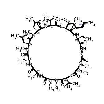 C/C=C/C[C@@H](C)[C@@H](O)[C@@H]1NC(=O)[C@H](C(C)C)N(C)C(=O)[C@@H](CC(C)C)N(C)C(=O)[C@H](CC(C)C)N(C)C(=O)[C@@H](C)NC(=O)[C@H](C)NC(=O)[C@H](C)N(C)C(=O)[C@H](C(C)C)NC(=O)[C@@H](C)N(C)C(=O)CNC(=O)[C@H](CC)NC1=O